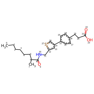 CCCCCCC(C)C(=O)NCc1cc(-c2ccc(CCC(=O)O)cc2)cs1